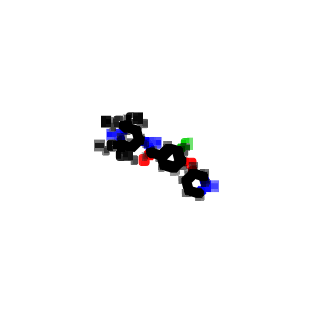 CC1(C)CC(NC(=O)c2ccc(OC3CCCNC3)c(Cl)c2)CC(C)(C)N1